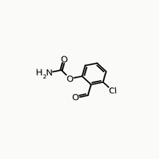 NC(=O)Oc1cccc(Cl)c1C=O